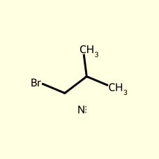 CC(C)CBr.[N]